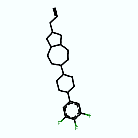 C=CCC1CC2CCC(C3CCC(c4cc(F)c(F)c(F)c4)CC3)CCC2C1